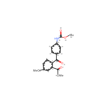 COC(=O)c1cc(OC)ccc1C(=O)c1ccc(NC(=O)OC(C)(C)C)cc1